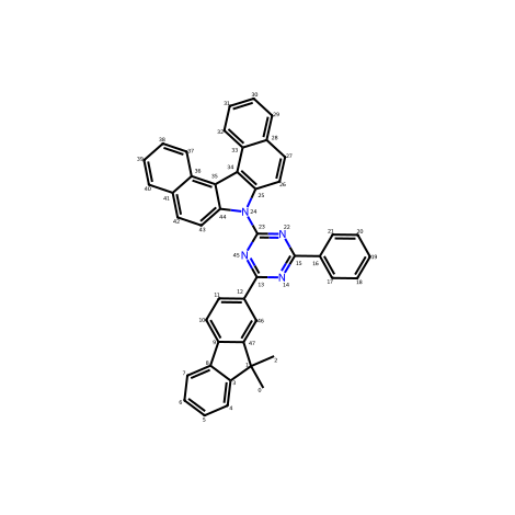 CC1(C)c2ccccc2-c2ccc(-c3nc(-c4ccccc4)nc(-n4c5ccc6ccccc6c5c5c6ccccc6ccc54)n3)cc21